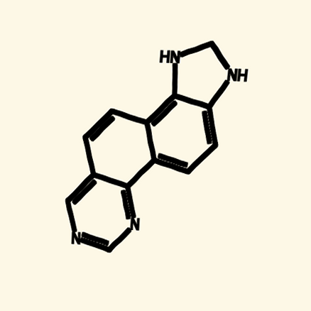 c1ncc2ccc3c4c(ccc3c2n1)NCN4